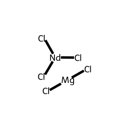 [Cl][Mg][Cl].[Cl][Nd]([Cl])[Cl]